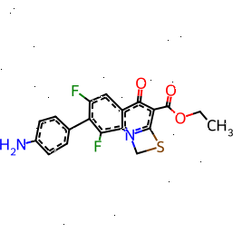 CCOC(=O)c1c2n(c3c(F)c(-c4ccc(N)cc4)c(F)cc3c1=O)CS2